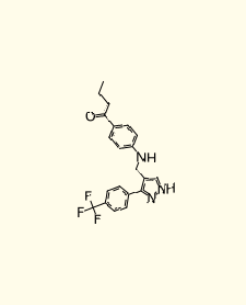 CCCC(=O)c1ccc(NCc2c[nH]nc2-c2ccc(C(F)(F)F)cc2)cc1